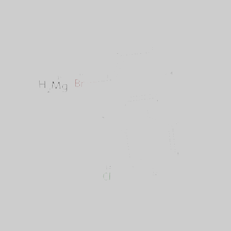 Brc1ccccc1.Cc1ccccc1Cl.[MgH2]